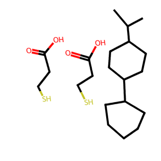 CC(C)C1CCC(C2CCCCC2)CC1.O=C(O)CCS.O=C(O)CCS